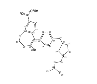 COC(=O)c1ccc2c(c1)CCCC(Br)=C2c1ccc(CC2CCN(CCC(F)F)C2)cc1